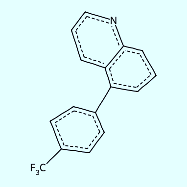 FC(F)(F)c1ccc(-c2cccc3ncccc23)cc1